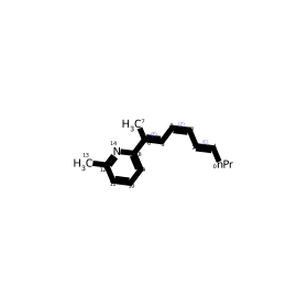 CCC/C=C/C=C\C=C(/C)c1cccc(C)n1